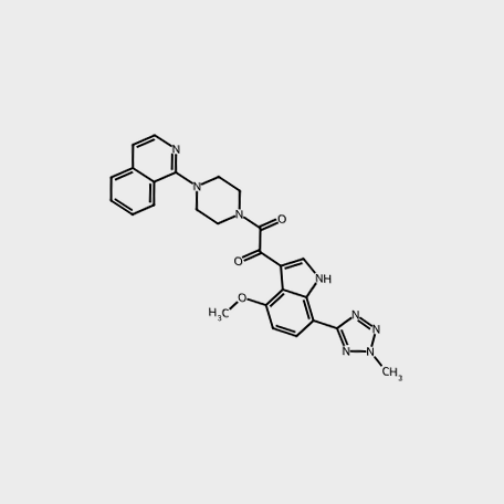 COc1ccc(-c2nnn(C)n2)c2[nH]cc(C(=O)C(=O)N3CCN(c4nccc5ccccc45)CC3)c12